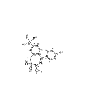 CN1N=C(c2ccc(F)cc2)c2ccc(C(F)(F)F)cc2CS1(=O)=O